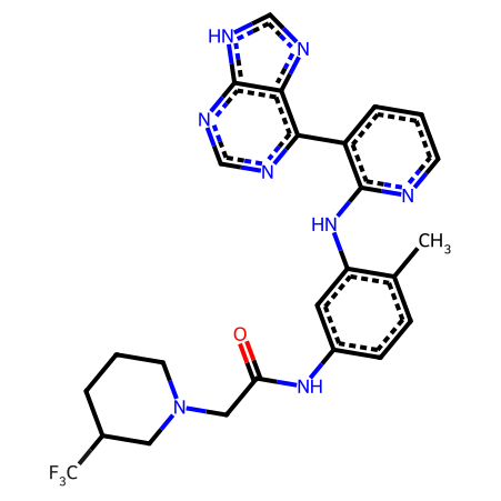 Cc1ccc(NC(=O)CN2CCCC(C(F)(F)F)C2)cc1Nc1ncccc1-c1ncnc2[nH]cnc12